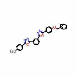 CC(C)(C)c1ccc(-c2nnc(-c3cccc(-c4nnc(-c5ccc(OCC6CC7C=CC6C7)cc5)o4)c3)o2)cc1